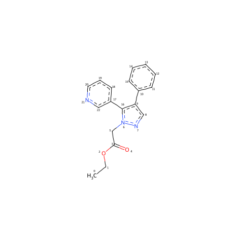 CCOC(=O)Cn1ncc(-c2ccccc2)c1-c1cccnc1